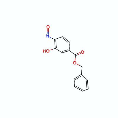 O=Nc1ccc(C(=O)OCc2ccccc2)cc1O